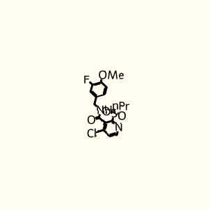 CCCS(=O)(=O)c1nccc(Cl)c1C(=O)NCc1ccc(OC)c(F)c1